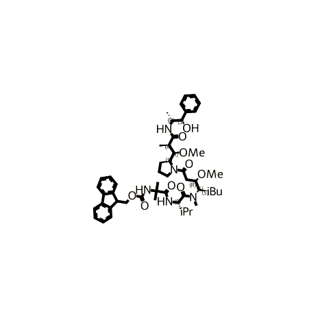 CC[C@H](C)[C@@H]([C@@H](CC(=O)N1CCC[C@H]1[C@H](OC)[C@@H](C)C(=O)N[C@H](C)[C@@H](O)c1ccccc1)OC)N(C)C(=O)[C@@H](NC(=O)C(C)(C)NC(=O)OCC1c2ccccc2-c2ccccc21)C(C)C